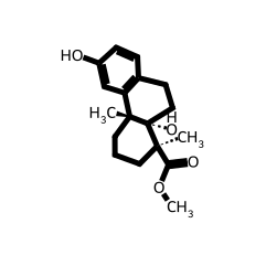 COC(=O)[C@@]1(C)CCC[C@]2(C)c3cc(O)ccc3CC[C@@]12O